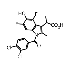 Cc1c(C(C)C(=O)O)c2c(F)c(O)c(F)cc2n1C(=O)c1ccc(Cl)c(Cl)c1